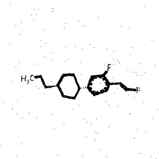 CCC[C@H]1CC[C@H](c2ccc(C=CF)c(F)c2)CC1